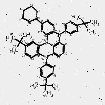 CC(C)(C)c1ccc(N2c3ccc(C4CCCCC4)cc3B3c4cc(C(C)(C)C)ccc4N(c4ccc(C(C)(C)C)cc4)c4cccc2c43)cc1